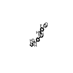 O=C(Nc1ccc(-c2ccnc(Nc3ccc(N4CCOCC4)c(F)c3)n2)cc1)[C@H]1CCCN1